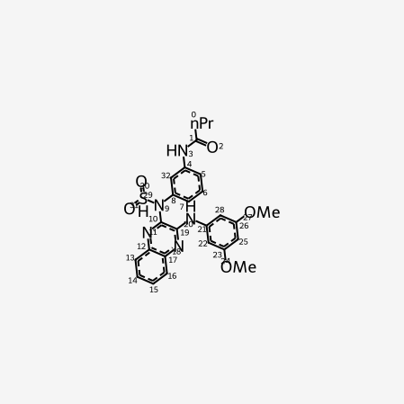 CCCC(=O)Nc1cccc(N(c2nc3ccccc3nc2Nc2cc(OC)cc(OC)c2)[SH](=O)=O)c1